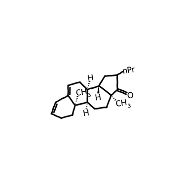 CCCC1C[C@H]2[C@@H]3CC=C4C=CCC[C@]4(C)[C@@H]3CC[C@]2(C)C1=O